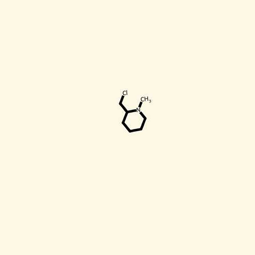 CN1CCCCC1CCl